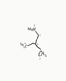 [CH2-][NH2+]CC(C)C